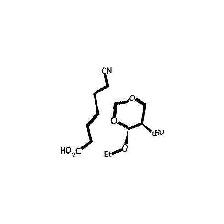 CCO[C@H]1OCOC[C@H]1C(C)(C)C.N#CCCCCCC(=O)O